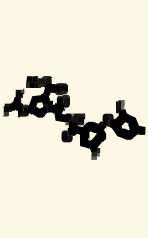 COC(=O)[C@@H]1C[C@@H](OC(F)F)CN1C(=O)CNC(=O)c1cc(F)cc(Oc2ccc(C)cc2F)c1